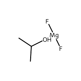 CC(C)O.[F][Mg][F]